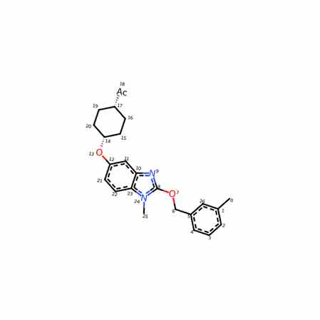 Cc1cccc(COc2nc3cc(O[C@H]4CC[C@@H](C(C)=O)CC4)ccc3n2C)c1